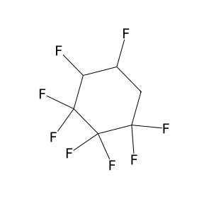 FC1CC(F)(F)C(F)(F)C(F)(F)C1F